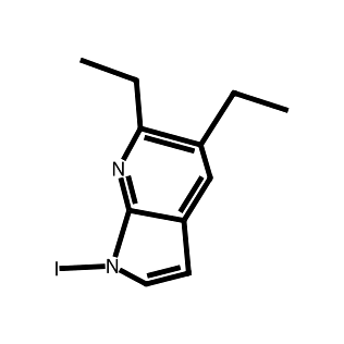 CCc1cc2ccn(I)c2nc1CC